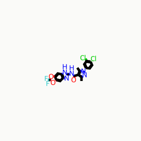 Cc1nn(-c2ccc(Cl)c(Cl)c2)c(C)c1C(=O)Nc1nc2cc3c(cc2[nH]1)OC(F)(F)O3